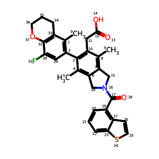 Cc1c(-c2c(C)c3c(c(C)c2CC(=O)O)CN(C(=O)c2cccc4sccc24)C3)cc(F)c2c1CCCO2